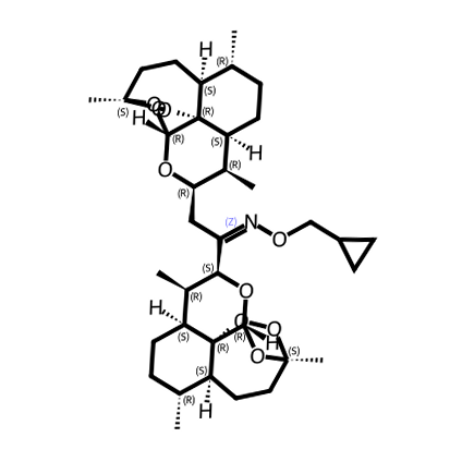 C[C@H]1[C@@H](/C(C[C@H]2O[C@@H]3O[C@]4(C)CC[C@H]5[C@H](C)CC[C@@H]([C@H]2C)[C@@]35OO4)=N\OCC2CC2)O[C@@H]2O[C@]3(C)CC[C@H]4[C@H](C)CC[C@@H]1[C@@]24OO3